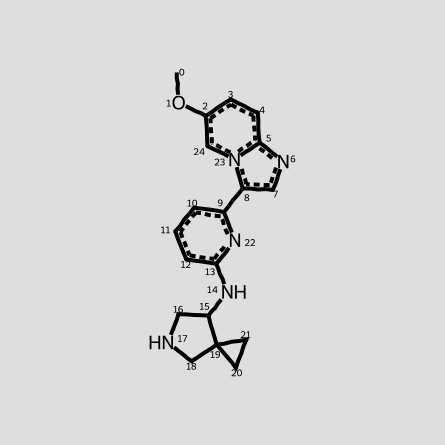 COc1ccc2ncc(-c3cccc(NC4CNCC45CC5)n3)n2c1